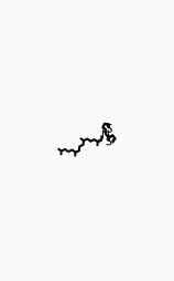 CC(=CCN(c1cccs1)c1cccs1)CCCC(C)CCCC(C)CCCC(C)C